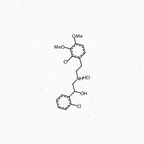 COc1ccc(CCNCC(O)c2ccccc2Cl)c(Cl)c1OC.Cl